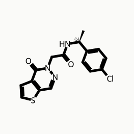 C[C@H](NC(=O)Cn1ncc2sccc2c1=O)c1ccc(Cl)cc1